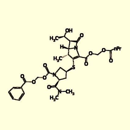 CCCC(=O)OCOC(=O)C1=C(S[C@H]2C[C@@H](C(=O)N(C)C)N(C(=O)OCOC(=O)c3ccccc3)C2)[C@H](C)[C@@H]2[C@@H]([C@@H](C)O)C(=O)N12